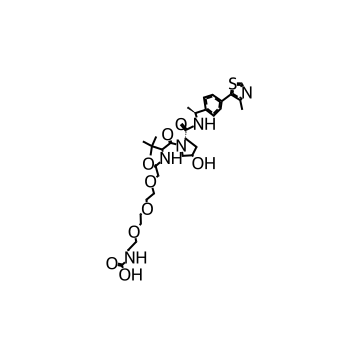 Cc1ncsc1-c1ccc([C@H](C)NC(=O)[C@@H]2C[C@@H](O)CN2C(=O)[C@@H](NC(=O)COCCOCCOCCNC(=O)O)C(C)(C)C)cc1